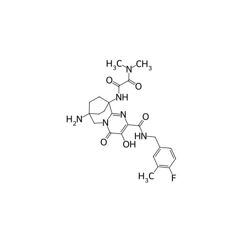 Cc1cc(CNC(=O)c2nc3n(c(=O)c2O)CC2(N)CCC3(NC(=O)C(=O)N(C)C)CC2)ccc1F